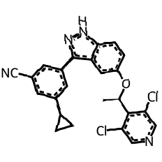 C[C@@H](Oc1ccc2[nH]nc(-c3cc(C#N)cc(C4CC4)c3)c2c1)c1c(Cl)cncc1Cl